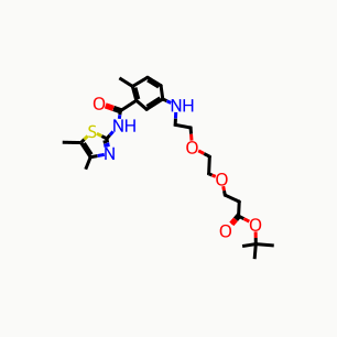 Cc1ccc(NCCOCCOCCC(=O)OC(C)(C)C)cc1C(=O)Nc1nc(C)c(C)s1